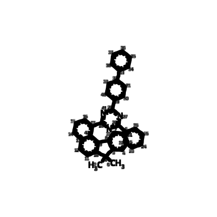 CC1(C)c2ccccc2-c2c1ccc1cccc(-c3nc(-c4ccccc4)nc(-c4ccc(-c5ccccc5)cc4)n3)c21